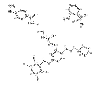 NNc1ccc(C(=O)NCCCNC(=O)/C=C/c2nc(CSc3c(F)c(F)cc(F)c3F)ccc2OCCc2ccccc2)cn1.O=Cc1ccccc1S(=O)(=O)O